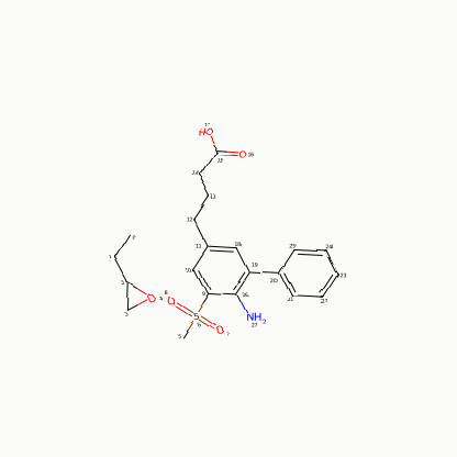 CCC1CO1.CS(=O)(=O)c1cc(CCCC(=O)O)cc(-c2ccccc2)c1N